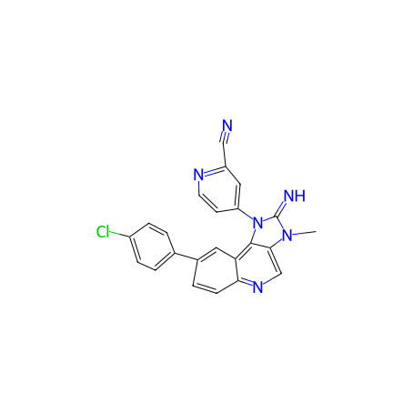 Cn1c(=N)n(-c2ccnc(C#N)c2)c2c3cc(-c4ccc(Cl)cc4)ccc3ncc21